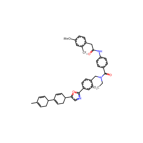 COc1ccc(CC(=O)Nc2ccc(C(=O)N(CC(=O)O)Cc3ccc(-c4ncc(C5C=CC(C6C=CC(C)=CC6)=CC5)o4)cc3)cc2)c(C(F)(F)F)c1